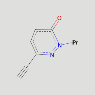 C#Cc1ccc(=O)n(C(C)C)n1